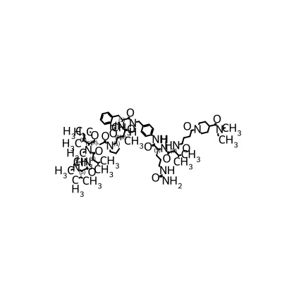 CC[C@H](C)[C@@H]([C@@H](CC(=O)N1CCC[C@H]1[C@H](OC)[C@@H](C)C(=O)N[C@@H](Cc1ccccc1)C(=O)NCc1ccc(NC(=O)[C@H](CCCNC(N)=O)NC(=O)[C@@H](NC(=O)CCC(=O)N2CCC(C(=O)N(C)CC)CC2)C(C)C)cc1)OC)N(C)C(=O)[C@@H](NC(=O)[C@H](C(C)C)N(C)C)C(C)C